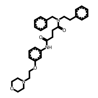 O=C(CCC(=O)N(CCc1ccccc1)Cc1ccccc1)Nc1cccc(OCCN2CCOCC2)c1